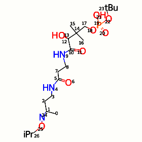 C/C(CCNC(=O)CCNC(=O)[C@@H](O)C(C)(C)COP(=O)(O)OC(C)(C)C)=N\OC(C)C